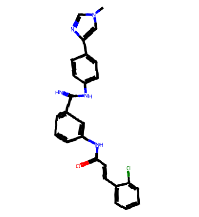 Cn1cnc(-c2ccc(NC(=N)c3cccc(NC(=O)/C=C/c4ccccc4Cl)c3)cc2)c1